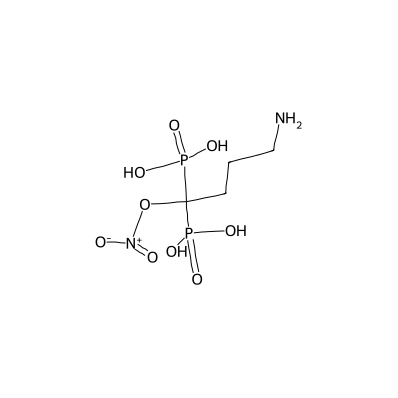 NCCCC(O[N+](=O)[O-])(P(=O)(O)O)P(=O)(O)O